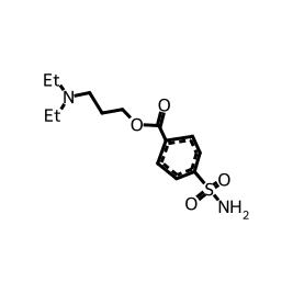 CCN(CC)CCCOC(=O)c1ccc(S(N)(=O)=O)cc1